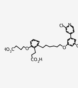 CCOc1cc(OCCCCCCc2cccc(OCCCC(=O)O)c2CCC(=O)O)cc(-c2ccnc(Cl)c2)c1